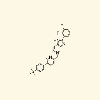 CC(C)(C)c1ccc(-c2ccc(CN3Cc4nc(-c5cccc(F)c5F)[nH]c4C=N3)nn2)cc1